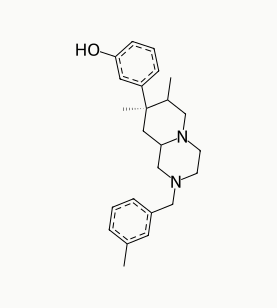 Cc1cccc(CN2CCN3CC(C)[C@](C)(c4cccc(O)c4)CC3C2)c1